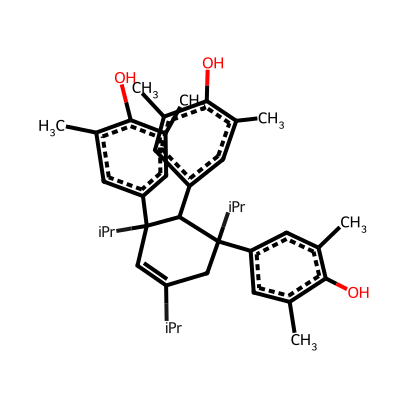 Cc1cc(C2C(c3cc(C)c(O)c(C)c3)(C(C)C)C=C(C(C)C)CC2(c2cc(C)c(O)c(C)c2)C(C)C)cc(C)c1O